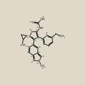 CC1CC1.CCc1cccc(-c2c(-c3ccc4nn(C)cc4c3)nsc2NC(=O)O)n1